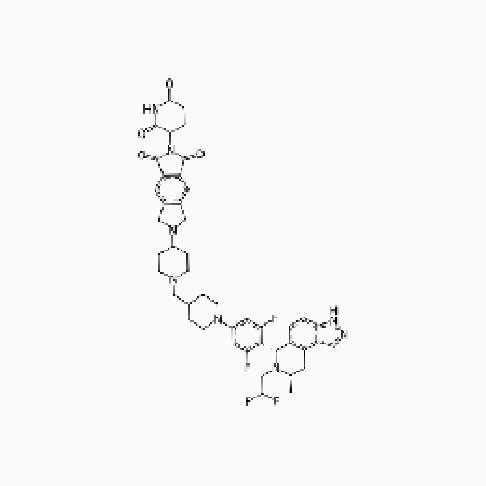 C[C@@H]1Cc2c(ccc3[nH]ncc23)[C@@H](c2c(F)cc(N3CCC(CN4CCC(N5Cc6cc7c(cc6C5)C(=O)N(C5CCC(=O)NC5=O)C7=O)CC4)CC3)cc2F)N1CC(F)F